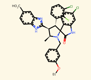 CCOc1cccc(CN2[C@@H](C)[C@@H](c3nc4cc(C(=O)O)ccc4[nH]3)[C@H](c3cccc(Cl)c3F)[C@]23C(=O)Nc2cc(Cl)ccc23)c1